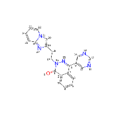 O=c1c2ccccc2c(-c2cncnc2)nn1CCc1cn2ccccc2n1